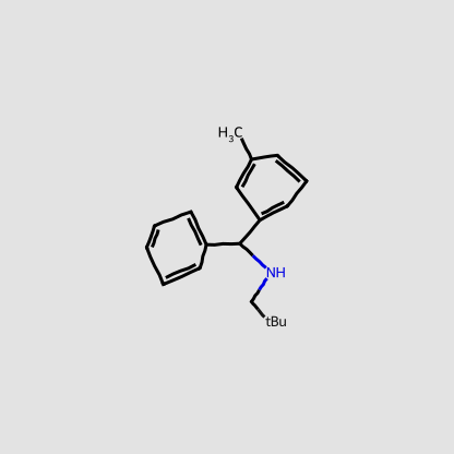 Cc1cccc(C(NCC(C)(C)C)c2ccccc2)c1